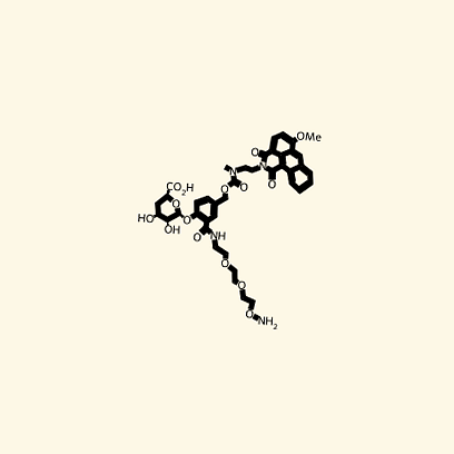 COc1ccc2c3c(c4ccccc4cc13)C(=O)N(CCN(C)C(=O)OCc1ccc(O[C@@H]3O[C@H](C(=O)O)C[C@H](O)[C@H]3O)c(C(=O)NCCOCCOCCON)c1)C2=O